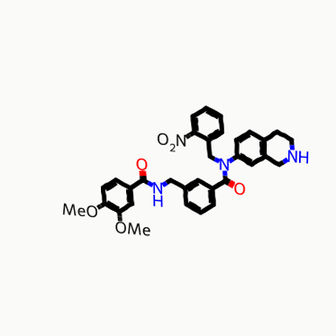 COc1ccc(C(=O)NCc2cccc(C(=O)N(Cc3ccccc3[N+](=O)[O-])c3ccc4c(c3)CNCC4)c2)cc1OC